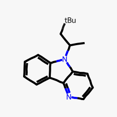 CC(CC(C)(C)C)n1c2ccccc2c2ncccc21